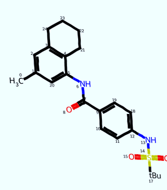 Cc1cc2c(c(NC(=O)c3ccc(NS(=O)(=O)C(C)(C)C)cc3)c1)CCCC2